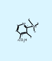 Cc1c(C(=O)O)ccn[c]1[Sn]([CH3])([CH3])[CH3]